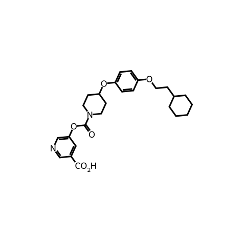 O=C(O)c1cncc(OC(=O)N2CCC(Oc3ccc(OCCC4CCCCC4)cc3)CC2)c1